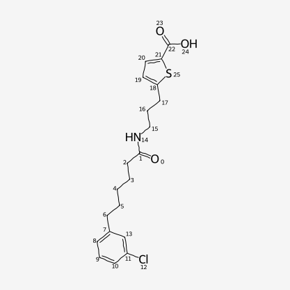 O=C(CCCCCc1cccc(Cl)c1)NCCCc1ccc(C(=O)O)s1